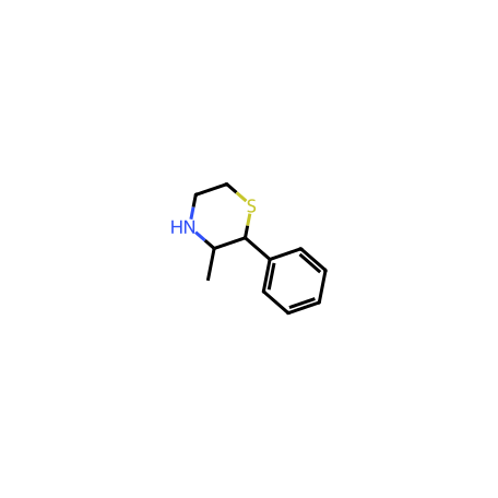 CC1NCCSC1c1ccccc1